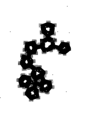 C1=C(c2ccccc2)N=C(c2ccccc2)N=C(c2cccc(-c3cccc(-c4ccc5c(c4)C(c4ccccc4)(c4ccccc4)c4ccccc4-5)c3)c2)C1